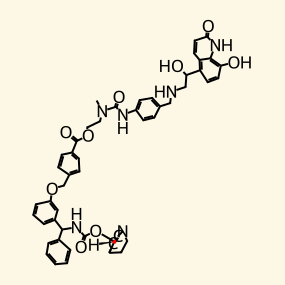 CN(CCOC(=O)c1ccc(COc2cccc(C(NC(=O)O[C@H]3CN4CCC3CC4)c3ccccc3)c2)cc1)C(=O)Nc1ccc(CNCC(O)c2ccc(O)c3[nH]c(=O)ccc23)cc1